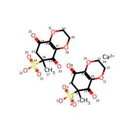 CC1(S(=O)(=O)[O-])CC(=O)C2=C(OCCO2)C1=O.CC1(S(=O)(=O)[O-])CC(=O)C2=C(OCCO2)C1=O.[Ca+2]